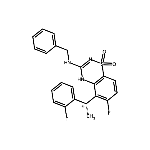 C[C@H](c1ccccc1F)c1c(F)ccc2c1NC(NCc1ccccc1)=NS2(=O)=O